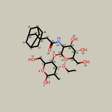 CCO[C@@H]1C(C)C(O)OC(CO)[C@H]1O[C@@H]1OC(CO)[C@@H](O)[C@H](O)C1NC(=O)CC12CC3CC(CC(C3)C1)C2